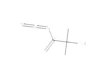 [CH2]C(C)(O)C(=C)N=[N+]=[N-]